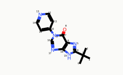 CC(C)(C)c1nc2c(=O)n(-c3ccncc3)cnc2[nH]1